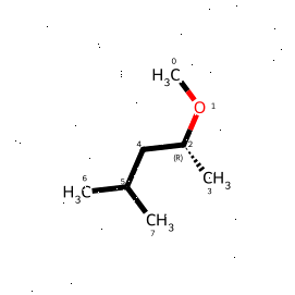 CO[C@H](C)CC(C)C